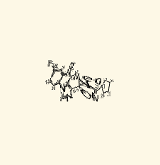 COC1(c2noc(-c3ncn4c3c(C)[n+]([O-])c3cc(F)ccc34)n2)CCCC1